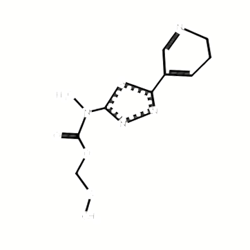 CSCOC(=O)N(C)c1nnc(C2=CCCN=C2)s1